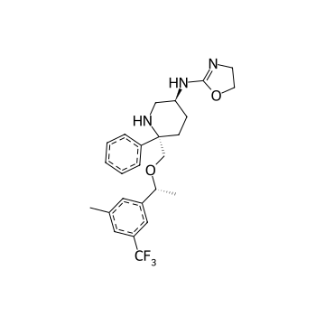 Cc1cc([C@@H](C)OC[C@@]2(c3ccccc3)CC[C@H](NC3=NCCO3)CN2)cc(C(F)(F)F)c1